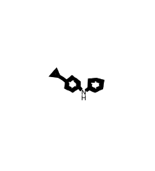 c1ccc(Nc2ccc(C3CC3)cc2)cc1